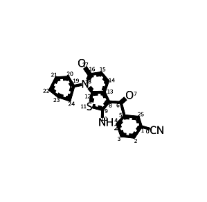 N#Cc1cccc(C(=O)c2c(N)sc3c2ccc(=O)n3-c2ccccc2)c1